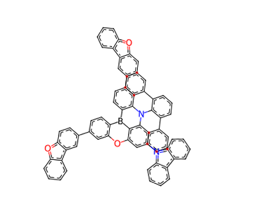 c1ccc(-c2cccc(-c3ccccc3)c2N2c3cc(-c4ccc5oc6ccccc6c5c4)ccc3B3c4ccc(-c5ccc6oc7ccccc7c6c5)cc4Oc4cc(-n5c6ccccc6c6ccccc65)cc2c43)cc1